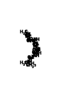 CN1CCN(C(=O)ONC(=N)c2ccc(N3CC[C@H](NC(=O)NCCC(=O)OCC(C)(C)C)C3=O)cc2)CC1